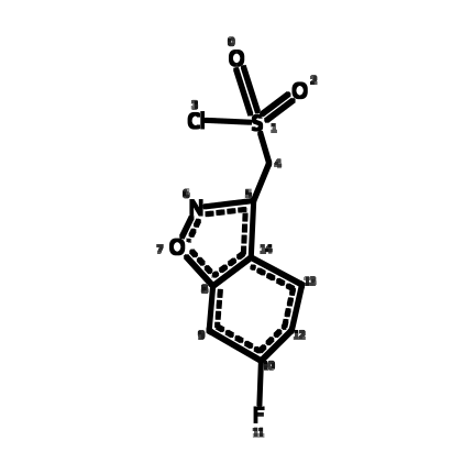 O=S(=O)(Cl)Cc1noc2cc(F)ccc12